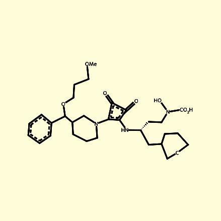 COCCCOC(c1ccccc1)C1CCCN(c2c(N[C@H](CCN(O)C(=O)O)CC3CCCCC3)c(=O)c2=O)C1